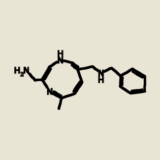 Cc1ccc(CNCc2ccccc2)c[nH]cc(CN)n1